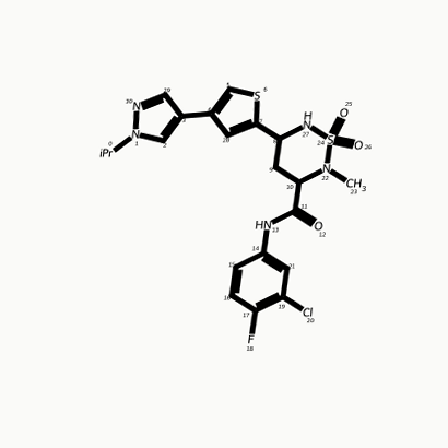 CC(C)n1cc(-c2csc(C3CC(C(=O)Nc4ccc(F)c(Cl)c4)N(C)S(=O)(=O)N3)c2)cn1